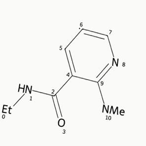 CCNC(=O)c1c[c]cnc1NC